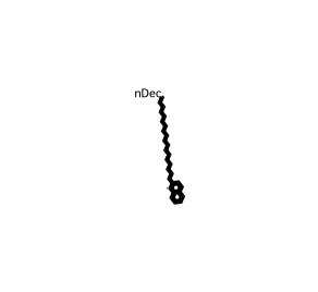 CCCCCCCCCCCCCCCCCCCCCCCCCCCCc1[c]c2ccccc2cc1